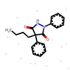 CCCCC1(c2ccccc2)C(=O)NN(c2ccccc2)C1=O